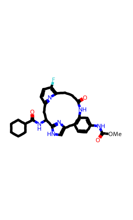 COC(=O)Nc1ccc2c(c1)NC(=O)CCc1nc(ccc1F)CC(NC(=O)C1CCCCC1)c1nc-2c[nH]1